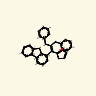 C1=CCC(C(=C(Cc2ccccc2)Cc2ccccc2)c2cccc3c2Cc2ccccc2-3)=C1